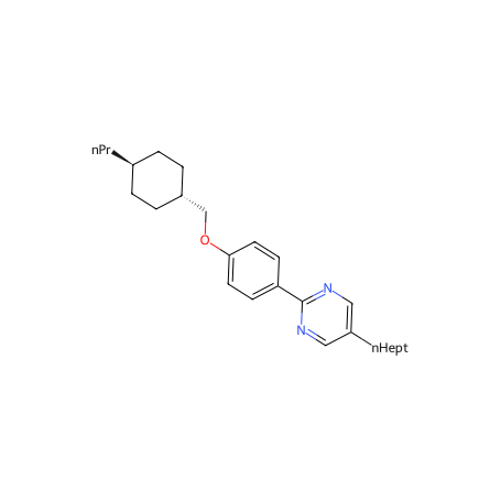 CCCCCCCc1cnc(-c2ccc(OC[C@H]3CC[C@H](CCC)CC3)cc2)nc1